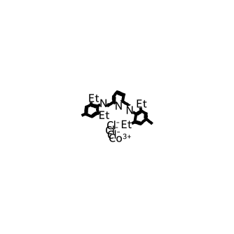 CCc1cc(C)cc(CC)c1N=Cc1cccc(C=Nc2c(CC)cc(C)cc2CC)n1.[Cl-].[Cl-].[Cl-].[Co+3]